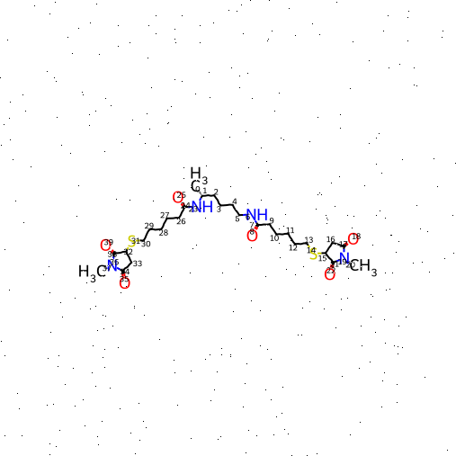 C[C@H](CCCCNC(=O)CCCCCSC1CC(=O)N(C)C1=O)NC(=O)CCCCCSC1CC(=O)N(C)C1=O